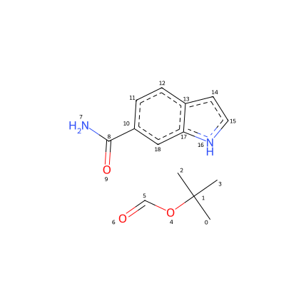 CC(C)(C)OC=O.NC(=O)c1ccc2cc[nH]c2c1